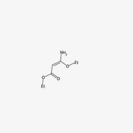 CCOC(=O)C=C(N)OCC